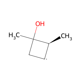 C[C@H]1[CH]CC1(C)O